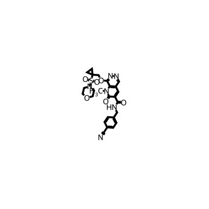 Cn1c(=O)c(C(=O)NCc2ccc(C#N)cc2)cc2cnnc(OCC3(S(=O)(=O)N4CCOCC4)CC3)c21